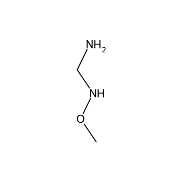 CONCN